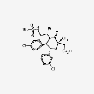 CC[C@@H](CNS(=O)(=O)C(C)(C)C)N1C(=O)[C@](C)(CC(=O)O)C[C@H](c2cccc(Cl)c2)[C@H]1c1ccc(Cl)cc1